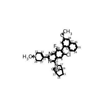 COc1cc(-c2c(Cl)cc3c(N4CC5CCC(C4)N5)nc(C4=CCN(C)CC4)nc3c2F)c2ccccc2c1